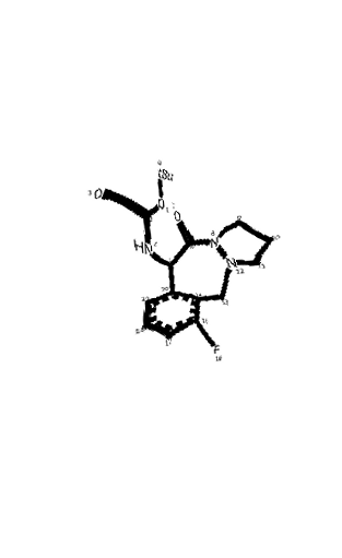 CC(C)(C)OC(=O)NC1C(=O)N2CCCN2Cc2c(F)cccc21